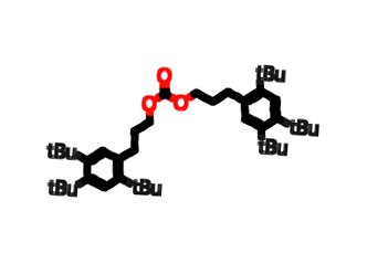 CC(C)(C)c1cc(C(C)(C)C)c(C(C)(C)C)cc1CCCOC(=O)OCCCc1cc(C(C)(C)C)c(C(C)(C)C)cc1C(C)(C)C